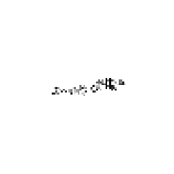 CN(Cc1cccc(-c2cnc(N3CCN(CCN4CCOCC4)CC3)nc2)c1)C(=O)CNC(=O)OC(C)(C)C